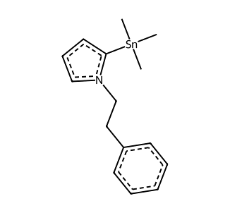 [CH3][Sn]([CH3])([CH3])[c]1cccn1CCc1ccccc1